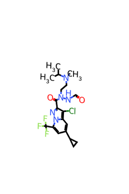 CC(C)N(C)CCN(NC=O)C(=O)c1nn2c(C(F)(F)F)cc(C3CC3)cc2c1Cl